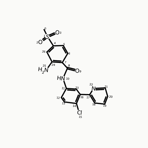 CS(=O)(=O)c1ccc(C(=O)Nc2ccc(Cl)c(-c3ccccn3)c2)c(N)c1